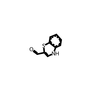 O=CC1=CNc2ccccc2S1